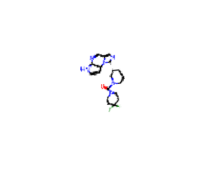 O=C(N1CCC(F)(F)CC1)N1CCC[C@@H](c2ncc3n2C2C=CNC2N=C3)C1